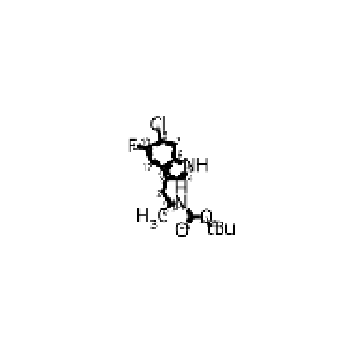 C[C@@H](Cc1c[nH]c2cc(Cl)c(F)cc12)NC(=O)OC(C)(C)C